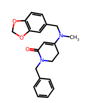 CN(Cc1ccc2c(c1)OCO2)C1=CC(=O)N(Cc2ccccc2)CC1